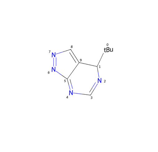 CC(C)(C)C1N=CN=C2N=NC=C21